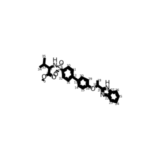 COC(=O)C(NS(=O)(=O)c1ccc(-c2ccc(OC(C)c3nc4ccccc4[nH]3)cc2)cc1)C(C)C